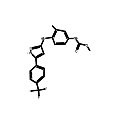 COC(=O)Nc1ccc(Nc2cc(-c3ccc(C(F)(F)F)cc3)[nH]n2)c(C)c1